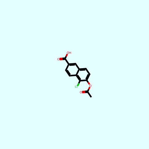 CC(=O)Oc1ccc2cc(C(=O)O)ccc2c1Cl